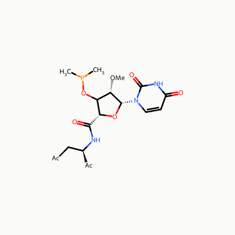 CO[C@H]1C(OP(C)C)[C@@H](C(=O)N[C@H](CC(C)=O)C(C)=O)O[C@H]1n1ccc(=O)[nH]c1=O